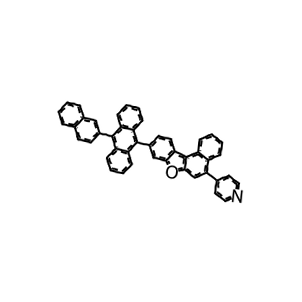 c1ccc2cc(-c3c4ccccc4c(-c4ccc5c(c4)oc4cc(-c6ccncc6)c6ccccc6c45)c4ccccc34)ccc2c1